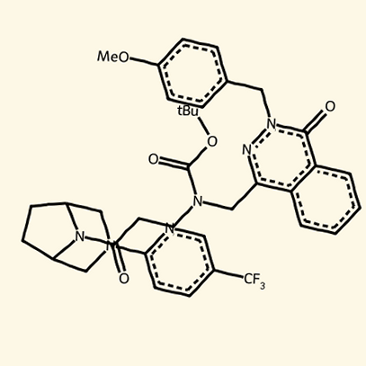 COc1ccc(Cn2nc(CN(CCC(=O)N3C4CCC3CN(c3ccc(C(F)(F)F)cn3)C4)C(=O)OC(C)(C)C)c3ccccc3c2=O)cc1